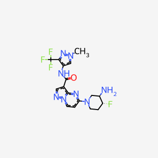 Cn1cc(NC(=O)c2cnn3ccc(N4CC[C@@H](F)[C@H](N)C4)nc23)c(C(F)(F)F)n1